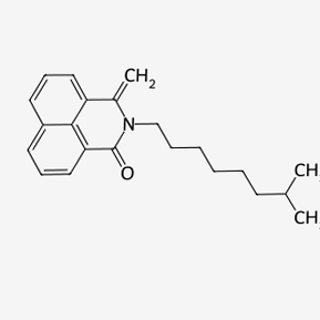 C=c1c2cccc3cccc(c(=O)n1CCCCCCC(C)C)c32